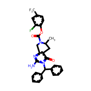 CC1Cc2c(nc(N)n(C(c3ccccc3)c3ccccc3)c2=O)CN1C(=O)Oc1ccc(C(F)(F)F)cc1F